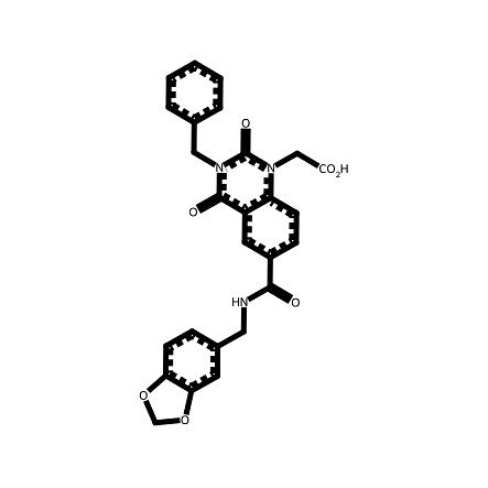 O=C(O)Cn1c(=O)n(Cc2ccccc2)c(=O)c2cc(C(=O)NCc3ccc4c(c3)OCO4)ccc21